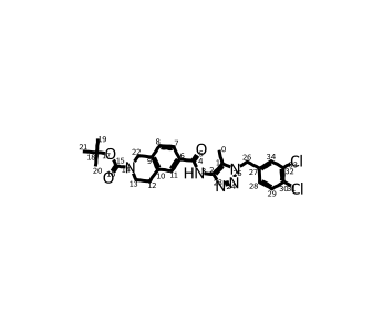 Cc1c(NC(=O)c2ccc3c(c2)CCN(C(=O)OC(C)(C)C)C3)nnn1Cc1ccc(Cl)c(Cl)c1